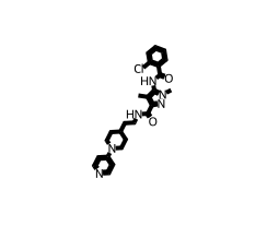 Cc1c(C(=O)NCCC2CCN(c3ccncc3)CC2)nn(C)c1NC(=O)c1ccccc1Cl